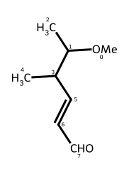 COC(C)C(C)C=CC=O